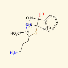 NCCCC(SC([N+](=O)[O-])([N+](=O)[O-])C(O)(c1ccccc1)[N+](=O)[O-])[C@H](N)C(=O)O